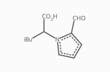 CCC(C)C(C(=O)O)n1cccc1C=O